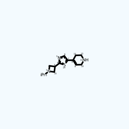 CC(C)N1CC(c2ncc(C3=CCNCC3)s2)C1